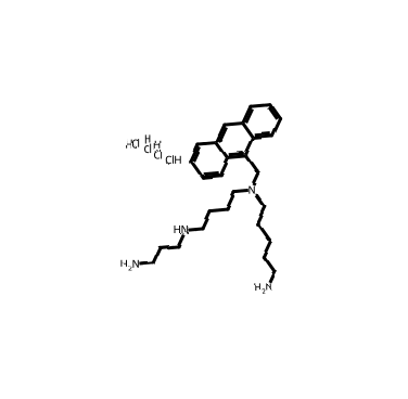 Cl.Cl.Cl.Cl.NCCCCCN(CCCCNCCCN)Cc1c2ccccc2cc2ccccc12